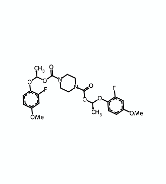 COc1ccc(O[C@@H](C)OC(=O)N2CCN(C(=O)O[C@H](C)Oc3ccc(OC)cc3F)CC2)c(F)c1